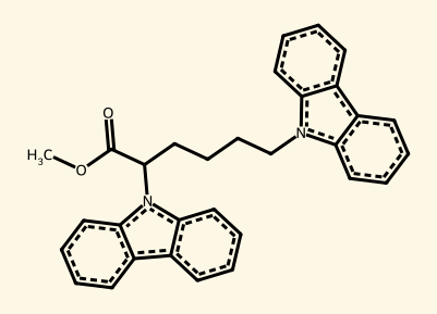 COC(=O)C(CCCCn1c2ccccc2c2ccccc21)n1c2ccccc2c2ccccc21